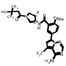 COc1ccc(-c2cc(C(F)(F)F)c3c(N)ncnn23)cc1C(=O)N[C@@H]1CN(C(=O)CC(O)(C(F)(F)F)C(F)(F)F)C[C@@H]1F